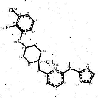 C[C@]1(Cc2cccc(Nc3nccs3)n2)CC[C@@H](Oc2cccc(Cl)c2F)CC1